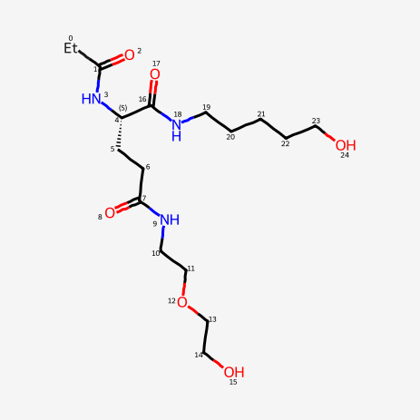 CCC(=O)N[C@@H](CCC(=O)NCCOCCO)C(=O)NCCCCCO